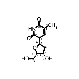 CC1=CC([C@H]2C[C@H](O)[C@@H](CO)O2)C(=O)NC1=O